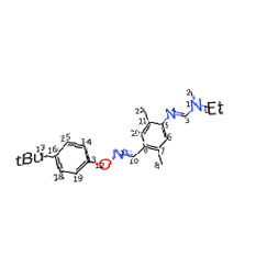 CCN(C)C=Nc1cc(C)c(/C=N/Oc2ccc(C(C)(C)C)cc2)cc1C